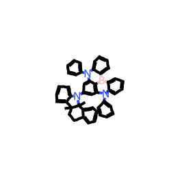 CC12CCc3ccccc3C1(C)N(c1cc3c4c(c1)N(c1ccccc1)c1ccccc1B4c1ccccc1N3c1ccccc1)c1ccccc12